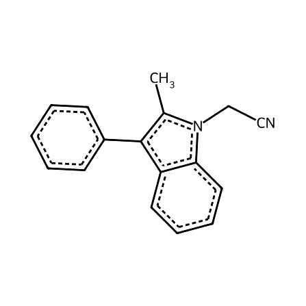 Cc1c(-c2ccccc2)c2ccccc2n1CC#N